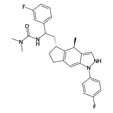 C[C@H]1C2=CNN(c3ccc(F)cc3)C2=CC2=C1[C@@H](CC(NC(=O)N(C)C)c1cccc(F)c1)CC2